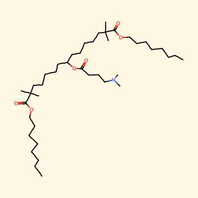 CCCCCCCCOC(=O)C(C)(C)CCCCCC(CCCCCC(C)(C)C(=O)OCCCCCCCC)OC(=O)CCCN(C)C